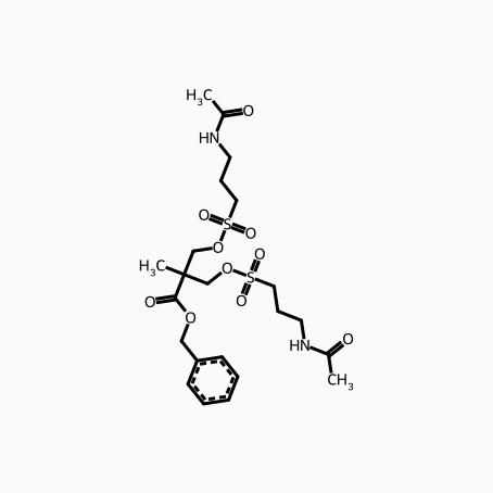 CC(=O)NCCCS(=O)(=O)OCC(C)(COS(=O)(=O)CCCNC(C)=O)C(=O)OCc1ccccc1